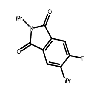 CC(C)c1cc2c(cc1F)C(=O)N(C(C)C)C2=O